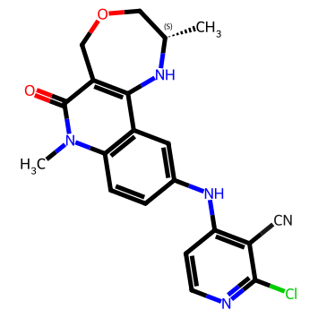 C[C@H]1COCc2c(c3cc(Nc4ccnc(Cl)c4C#N)ccc3n(C)c2=O)N1